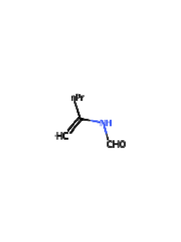 [CH]=C(C[CH]C)NC=O